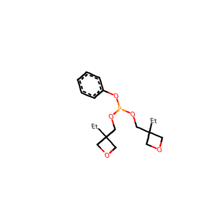 CCC1(COP(OCC2(CC)COC2)Oc2ccccc2)COC1